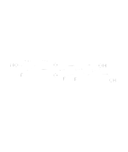 CCCC(O)C1CCC(c2ccc(C(=O)OC3CCC(c4ccc(O)c(F)c4)CC3)c(F)c2F)CC1